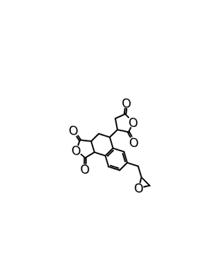 O=C1CC(C2CC3C(=O)OC(=O)C3c3ccc(CC4CO4)cc32)C(=O)O1